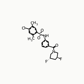 Cc1cc(S(=O)(=O)Nc2cccc(C(=O)N3C[C@@H](F)C[C@H](F)C3)c2)c(C)cc1Cl